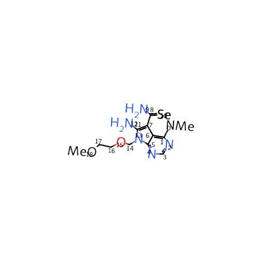 CNc1ncnc2c1c(C(N)=[Se])c(N)n2COCCOC